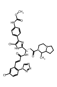 COC(=O)Nc1ccc(-c2nc([C@H](CC(=O)N3CCN4CCCC4C3C)NC(=O)C=Cc3cc(Cl)ccc3-n3cnnn3)[nH]c2Cl)cc1